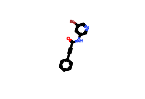 O=C(C#Cc1ccccc1)Nc1cncc(Br)c1